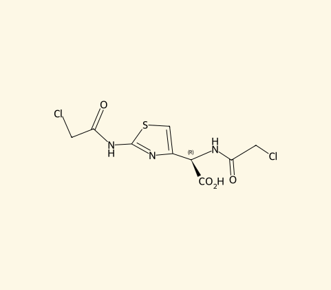 O=C(CCl)Nc1nc([C@@H](NC(=O)CCl)C(=O)O)cs1